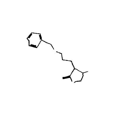 O=C1OCC(O)C1CCCOCc1ccccc1